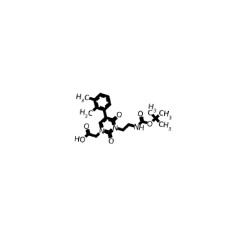 Cc1cccc(-c2cn(CC(=O)O)c(=O)n(CCNC(=O)OC(C)(C)C)c2=O)c1C